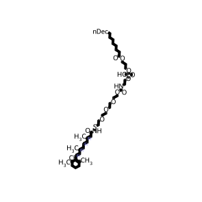 CCCCCCCCCCCCCCCCCC(=O)OCCCOP(=O)(O)OCCNC(=O)OCCOCCOCCOCCSNC(=O)/C=C(C)/C=C/C=C(C)/C=C/C1=C(C)CCCC1(C)C